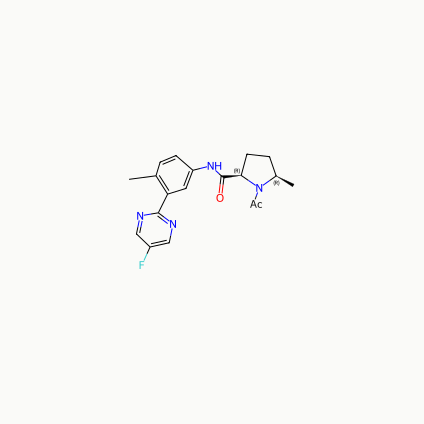 CC(=O)N1[C@H](C)CC[C@@H]1C(=O)Nc1ccc(C)c(-c2ncc(F)cn2)c1